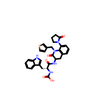 O=C(O)N[C@H](Cc1c[nH]c2ccccc12)C(=O)NC1Cc2cccc(N3CCCC3=O)c2N(Cc2ccsc2)C1=O